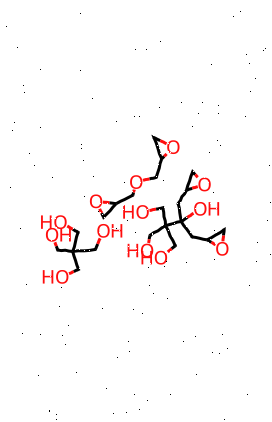 C(OCC1CO1)C1CO1.OCC(CO)(CO)C(O)(CC1CO1)CC1CO1.OCC(CO)(CO)CO